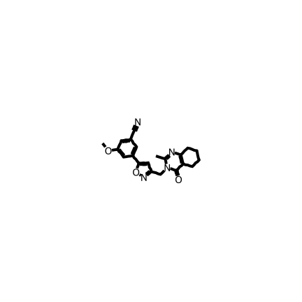 COc1cc(C#N)cc(-c2cc(Cn3c(C)nc4c(c3=O)CCCC4)no2)c1